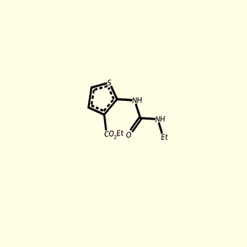 CCNC(=O)Nc1sccc1C(=O)OCC